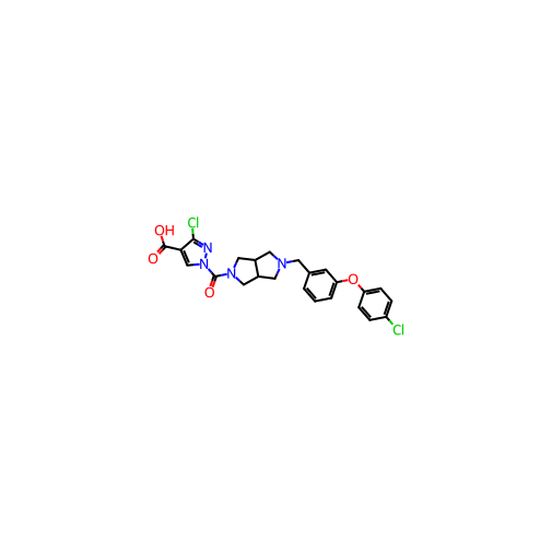 O=C(O)c1cn(C(=O)N2CC3CN(Cc4cccc(Oc5ccc(Cl)cc5)c4)CC3C2)nc1Cl